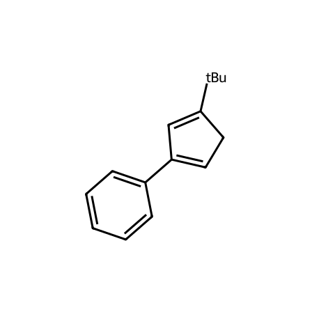 CC(C)(C)C1=CC(c2ccccc2)=CC1